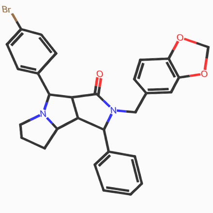 O=C1C2C(C(c3ccccc3)N1Cc1ccc3c(c1)OCO3)C1CCCN1C2c1ccc(Br)cc1